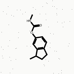 CNC(=O)Oc1ccc2c(c1)C(C)CC2